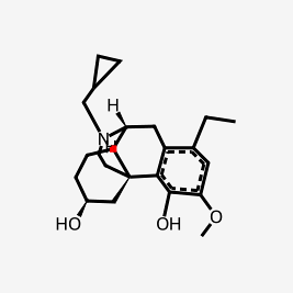 CCc1cc(OC)c(O)c2c1C[C@@H]1[C@@H]3CC[C@H](O)C[C@]23CCN1CC1CC1